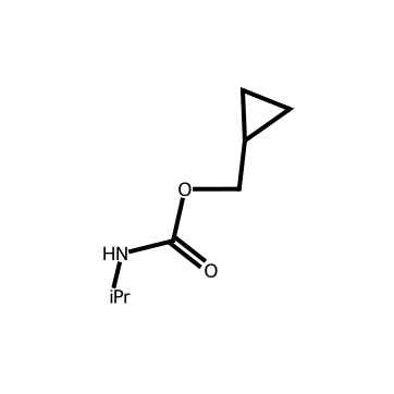 CC(C)NC(=O)OCC1CC1